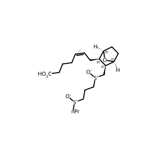 CCC[S+]([O-])CCC[S+]([O-])C[C@H]1[C@@H](C/C=C\CCCC(=O)O)[C@H]2CC[C@@H]1O2